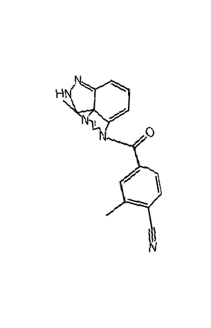 Cc1cc(C(=O)N2CC=CN(C)C34CNN=C3C=CC=C24)ccc1C#N